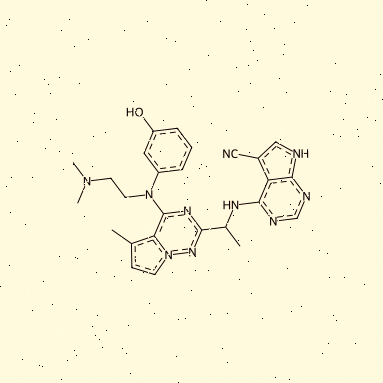 Cc1ccn2nc(C(C)Nc3ncnc4[nH]cc(C#N)c34)nc(N(CCN(C)C)c3cccc(O)c3)c12